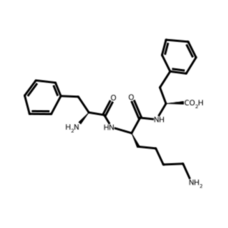 NCCCC[C@@H](NC(=O)[C@@H](N)Cc1ccccc1)C(=O)N[C@@H](Cc1ccccc1)C(=O)O